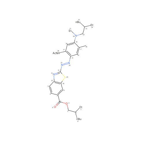 CCCCC(CC)COC(=O)c1ccc2nc(N=Nc3cc(C)c(N(CC)CC(CC)CCCC)cc3NC(C)=O)sc2c1